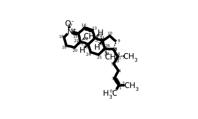 CC(C)=CCC[C@@H](C)[C@H]1CC[C@H]2[C@@H]3C=CC4=[N+]([O-])CCC[C@]4(C)[C@H]3CC[C@]12C